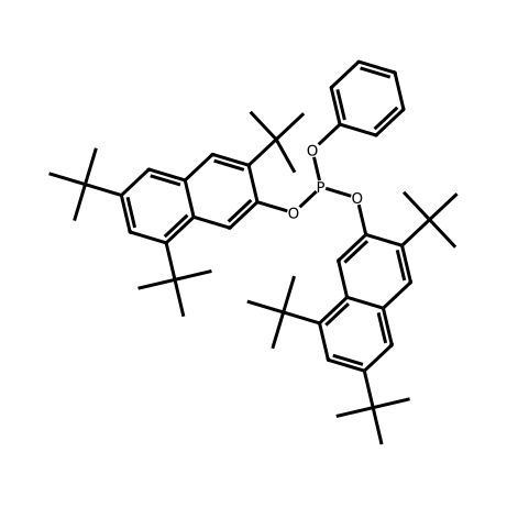 CC(C)(C)c1cc(C(C)(C)C)c2cc(OP(Oc3ccccc3)Oc3cc4c(C(C)(C)C)cc(C(C)(C)C)cc4cc3C(C)(C)C)c(C(C)(C)C)cc2c1